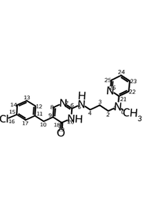 CN(CCCNc1ncc(Cc2cccc(Cl)c2)c(=O)[nH]1)c1ccccn1